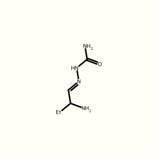 CCC(N)/C=N/NC(N)=O